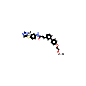 CCCCOCCOc1ccc(-c2cccc(/C=C/C(=O)Nc3ccc(Sc4cncn4CCC)cc3)c2)cc1